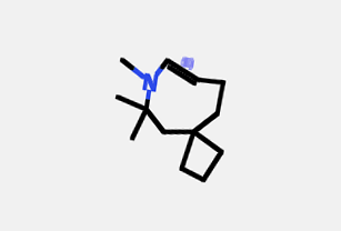 CN1/C=C/CCC2(CCC2)CC1(C)C